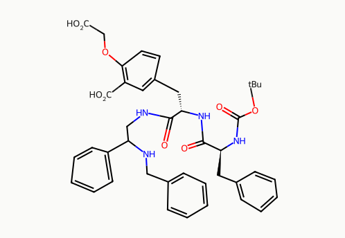 CC(C)(C)OC(=O)N[C@@H](Cc1ccccc1)C(=O)N[C@@H](Cc1ccc(OCC(=O)O)c(C(=O)O)c1)C(=O)NCC(NCc1ccccc1)c1ccccc1